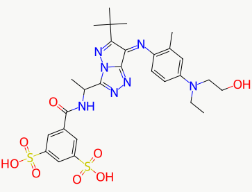 CCN(CCO)c1ccc(/N=C2/C(C(C)(C)C)=Nn3c2nnc3C(C)NC(=O)c2cc(S(=O)(=O)O)cc(S(=O)(=O)O)c2)c(C)c1